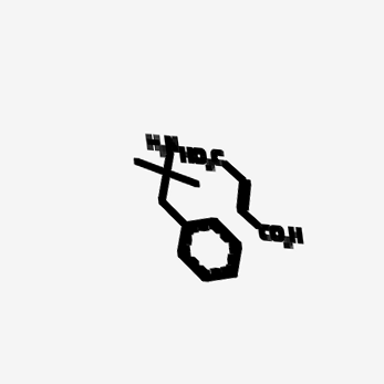 CC(C)(N)Cc1ccccc1.O=C(O)C=CC(=O)O